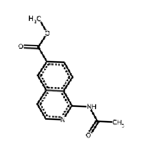 COC(=O)c1ccc2c(NC(C)=O)nccc2c1